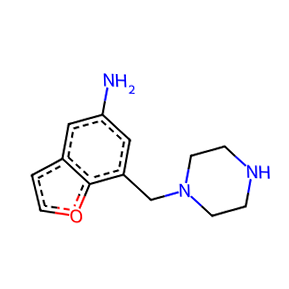 Nc1cc(CN2CCNCC2)c2occc2c1